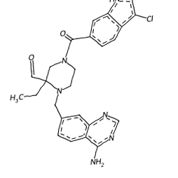 CCC1(C=O)CN(C(=O)c2ccc3c(Cl)c[nH]c3c2)CCN1Cc1ccc2c(N)ncnc2c1